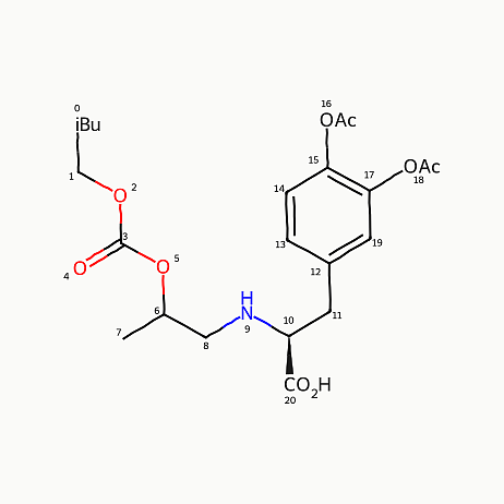 CCC(C)COC(=O)OC(C)CN[C@@H](Cc1ccc(OC(C)=O)c(OC(C)=O)c1)C(=O)O